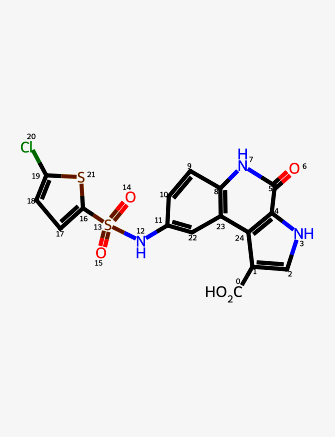 O=C(O)c1c[nH]c2c(=O)[nH]c3ccc(NS(=O)(=O)c4ccc(Cl)s4)cc3c12